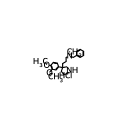 COc1ccc(C2(CCCN(C)Cc3ccccc3)CCCNC2)cc1OC.Cl